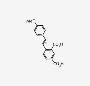 COc1ccc(/C=C/c2ccc(C(=O)O)cc2C(=O)O)cc1